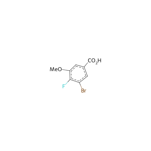 COc1cc(C(=O)O)cc(Br)c1F